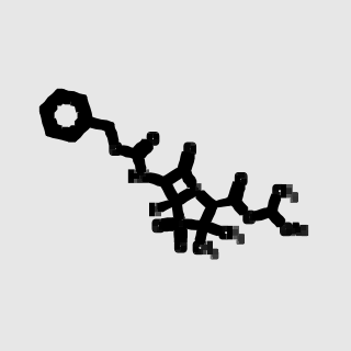 CC(=O)OC(C)OC(=O)[C@@H]1N2C(=O)C(NC(=O)OCc3ccccc3)[C@H]2S(=O)(=O)C1(C)C